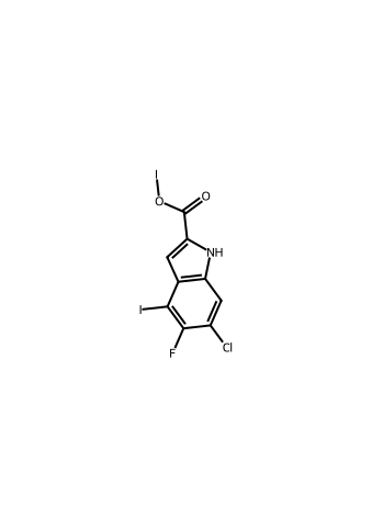 O=C(OI)c1cc2c(I)c(F)c(Cl)cc2[nH]1